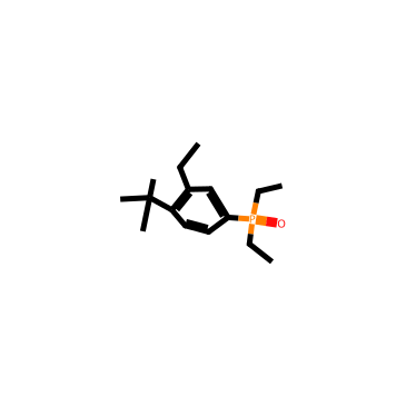 CCc1cc(P(=O)(CC)CC)ccc1C(C)(C)C